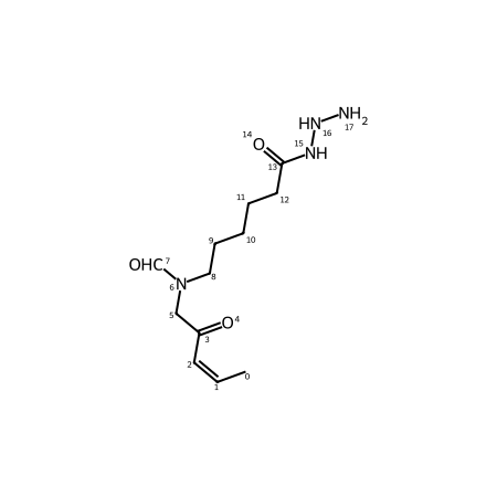 C/C=C\C(=O)CN(C=O)CCCCCC(=O)NNN